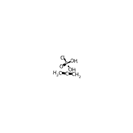 C=C=C.O=P(O)(O)Cl